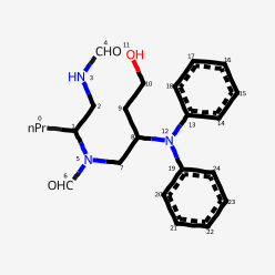 CCCC(CNC=O)N(C=O)CC(CCO)N(c1ccccc1)c1ccccc1